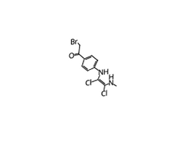 CN/C(Cl)=C(/Cl)Nc1ccc(C(=O)CBr)cc1